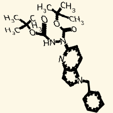 CC(C)(C)OC(=O)NN(C(=O)OC(C)(C)C)c1ccc2c(ccn2Cc2ccccc2)n1